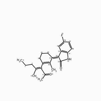 CCC/C(C)=C(/C(C)=O)C1=C(C)/C(=C2\C(=O)Nc3ccc(F)cc32)CCC1